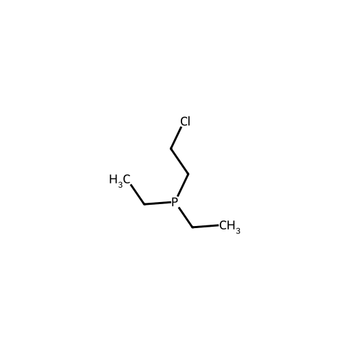 CCP(CC)CCCl